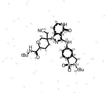 CC(C)(C)NC(=O)C1CCC(CC#N)(n2nc(Nc3ccc4c(c3)CN(C(C)(C)C)S4(=O)=O)c3c(=O)[nH]ccc32)CO1